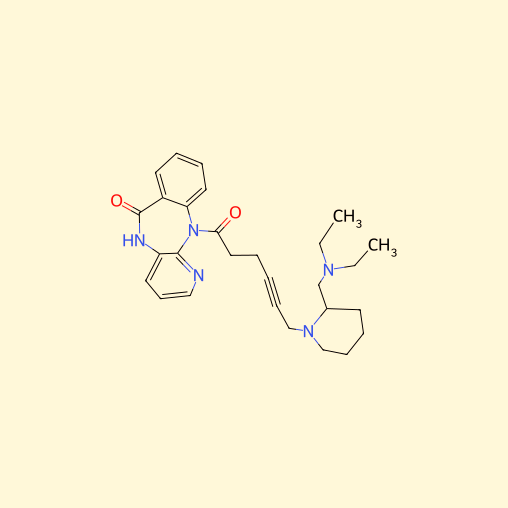 CCN(CC)CC1CCCCN1CC#CCCC(=O)N1c2ccccc2C(=O)Nc2cccnc21